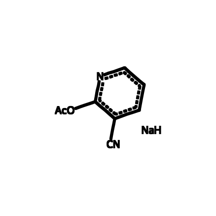 CC(=O)Oc1ncccc1C#N.[NaH]